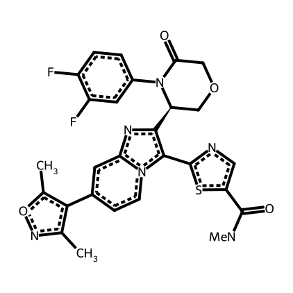 CNC(=O)c1cnc(-c2c([C@@H]3COCC(=O)N3c3ccc(F)c(F)c3)nc3cc(-c4c(C)noc4C)ccn23)s1